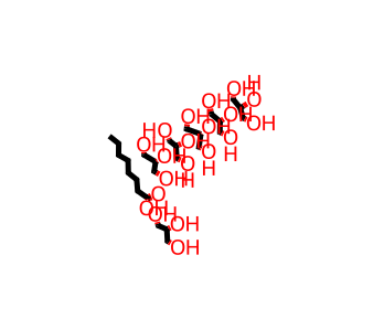 CCCCCCCC(=O)O.OCC(O)CO.OCC(O)CO.OCC(O)CO.OCC(O)CO.OCC(O)CO.OCC(O)CO